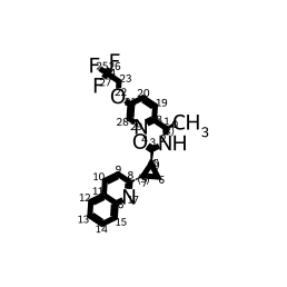 C[C@@H](NC(=O)[C@H]1C[C@@H]1c1ccc2ccccc2n1)c1ccc(OCC(F)(F)F)cn1